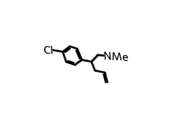 C=CCC(CNC)c1ccc(Cl)cc1